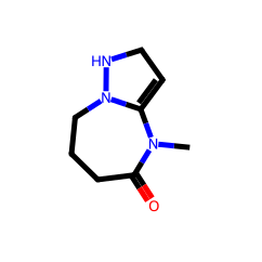 CN1C(=O)CCCN2NCC=C21